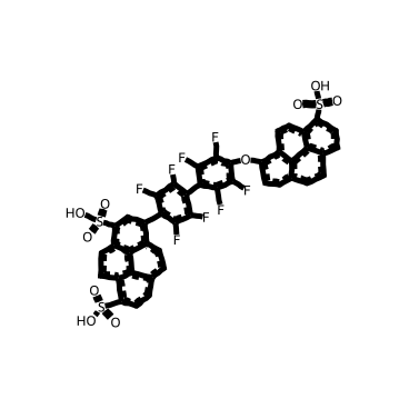 O=S(=O)(O)c1ccc2ccc3ccc(Oc4c(F)c(F)c(-c5c(F)c(F)c(-c6cc(S(=O)(=O)O)c7ccc8c(S(=O)(=O)O)ccc9ccc6c7c98)c(F)c5F)c(F)c4F)c4ccc1c2c34